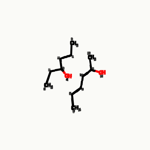 CCCC(O)CC.CCCCC(C)O